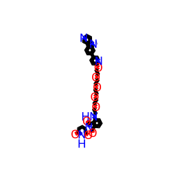 Cn1c2ccncc2c2ccc(-c3ccc(OCCOCCOCCOCCOCCNc4cccc5c4C(=O)N(C4CCC(=O)NC4=O)C5=O)nc3)cc21